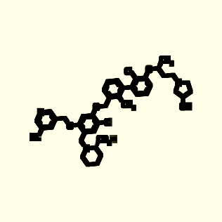 Cc1c(COc2cc(OCc3cncc(C#N)c3)c(CN3CCCC[C@H]3C(=O)O)cc2Cl)cccc1-c1cccc(O[C@@H](C)CCN2CC[C@@H](O)C2)c1Cl